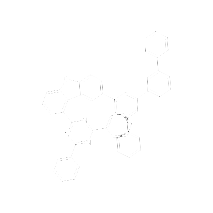 c1ccc(-c2cccc(-c3cc(-c4ccccc4)cc(-c4ccc5oc6cccc(-c7nc(-c8ccccc8)nc(-c8ccccc8)n7)c6c5c4)c3)c2)cc1